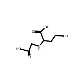 O=C(O)CNC(CCO)C(=O)O